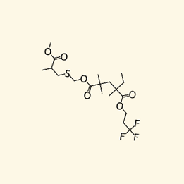 CCC(C)(CC(C)(C)C(=O)OCSCC(C)C(=O)OC)C(=O)OCCC(F)(F)F